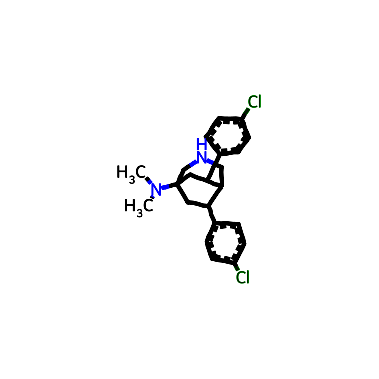 CN(C)C12CNCC(C(c3ccc(Cl)cc3)C1)C(c1ccc(Cl)cc1)C2